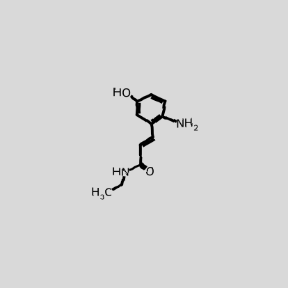 CCNC(=O)C=Cc1cc(O)ccc1N